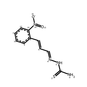 NC(=S)NN=CC=Cc1ccccc1[N+](=O)[O-]